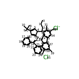 CCCCC1C=C(C(C)(C)C)C=[C]1[Zr+2](=[C](c1ccccc1)c1ccccc1)[CH]1c2cc(C)c(C)cc2-c2cc(C)c(C)cc21.[Cl-].[Cl-]